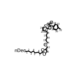 CCCCCCCCCCCCCCCCCC1OCC(COCCCCCN2C=CSC2OS(=O)(=O)c2ccc(C)cc2)O1